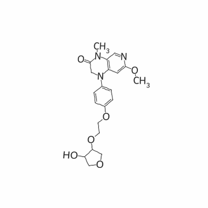 COc1cc2c(cn1)N(C)C(=O)CN2c1ccc(OCCOC2COCC2O)cc1